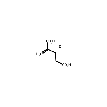 C=C(CCC(=O)O)C(=O)O.[Zr]